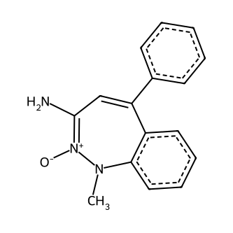 CN1c2ccccc2C(c2ccccc2)=CC(N)=[N+]1[O-]